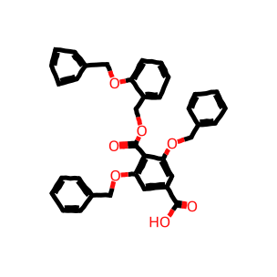 O=C(O)c1cc(OCc2ccccc2)c(C(=O)OCc2ccccc2OCc2ccccc2)c(OCc2ccccc2)c1